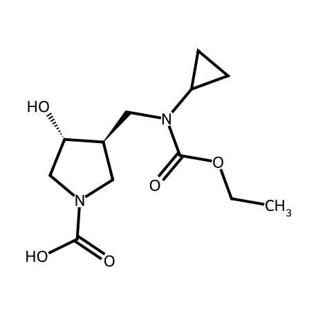 CCOC(=O)N(C[C@H]1CN(C(=O)O)C[C@@H]1O)C1CC1